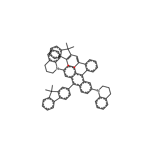 CC1(C)C2=C(CCC(c3ccccc3-c3c4ccc(N5CCCc6ccccc65)cc4c(-c4ccc5c(c4)C(C)(C)c4ccccc4-5)c4ccc(N5CCCc6ccccc65)cc34)=C2)c2ccccc21